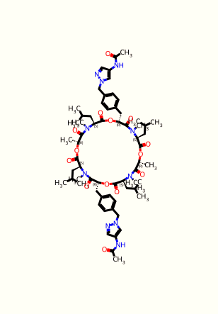 CC(=O)Nc1cnn(Cc2ccc(C[C@H]3OC(=O)[C@H](CC(C)C)N(C)C(=O)[C@@H](C)OC(=O)[C@H](CC(C)C)N(C)C(=O)[C@@H](Cc4ccc(Cn5cc(NC(C)=O)cn5)cc4)OC(=O)[C@H](CC(C)C)N(C)C(=O)[C@@H](C)OC(=O)[C@H](CC(C)C)N(C)C3=O)cc2)c1